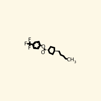 CCCCC[C@H]1CC[C@H](C(=O)Oc2ccc(C(F)(F)F)cc2)CC1